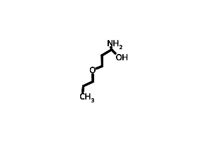 CCCOCCC(N)O